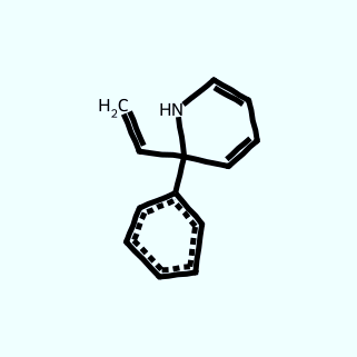 C=CC1(c2ccccc2)C=CC=CN1